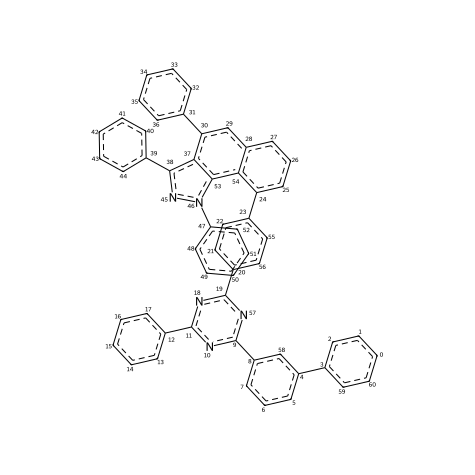 c1ccc(-c2cccc(-c3nc(-c4ccccc4)nc(-c4ccc(-c5cccc6cc(-c7ccccc7)c7c(-c8ccccc8)nn(-c8ccccc8)c7c56)cc4)n3)c2)cc1